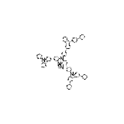 c1ccc(-c2ccc(C3c4ccccc4-c4cc(-c5ccc(N(c6ccc(-c7ccc8c(c7)c7ccccc7n8-c7ccccc7)cc6)c6ccc(-c7ccc(-n8c9ccc(-c%10ccccc%10)cc9c9cc(-c%10ccccc%10)ccc98)cc7)c7nsnc67)cc5)ccc43)cc2)cc1